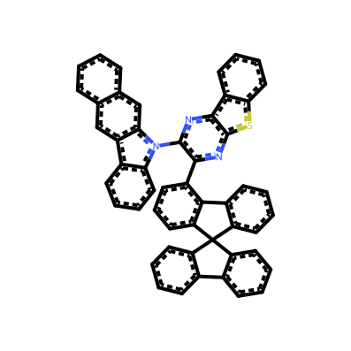 c1ccc2c(c1)-c1ccccc1C21c2ccccc2-c2c(-c3nc4sc5ccccc5c4nc3-n3c4ccccc4c4cc5ccccc5cc43)cccc21